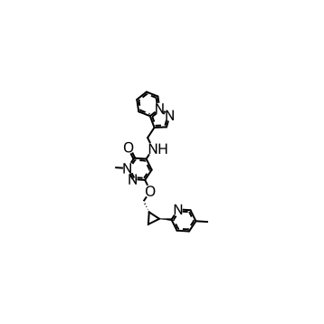 Cc1ccc([C@H]2C[C@@H]2COc2cc(NCc3cnn4ccccc34)c(=O)n(C)n2)nc1